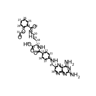 Nc1nc(N)c2nc(CNc3ccc(C(=O)N[C@@H](CCCNC(=O)c4ccccc4OC=O)C(=O)O)cc3)cnc2n1